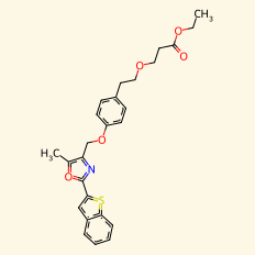 CCOC(=O)CCOCCc1ccc(OCc2nc(-c3cc4ccccc4s3)oc2C)cc1